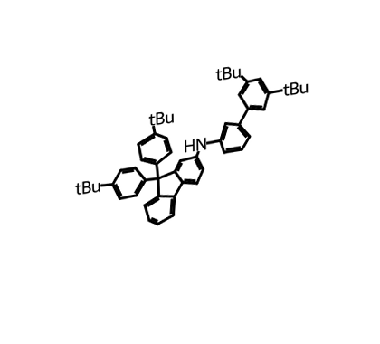 CC(C)(C)c1ccc(C2(c3ccc(C(C)(C)C)cc3)c3ccccc3-c3ccc(Nc4cccc(-c5cc(C(C)(C)C)cc(C(C)(C)C)c5)c4)cc32)cc1